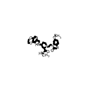 CNC(=O)C1CC(NCc2cc3c(cn2)OCCO3)CCN1CCn1c(=O)cnc2ccc(OC)cc21